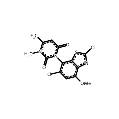 COc1cc(Cl)c(-n2c(=O)cc(C(F)(F)F)n(C)c2=O)c2sc(Cl)nc12